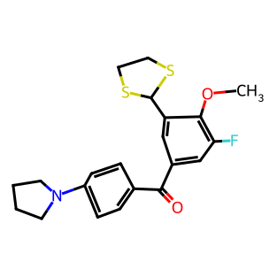 COc1c(F)cc(C(=O)c2ccc(N3CCCC3)cc2)cc1C1SCCS1